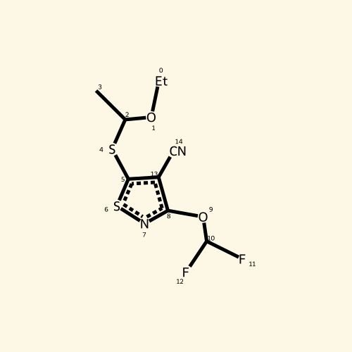 CCOC(C)Sc1snc(OC(F)F)c1C#N